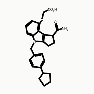 NC(=O)C1CCc2c1c1c(OCC(=O)O)cccc1n2Cc1ccc(C2CCCC2)cc1